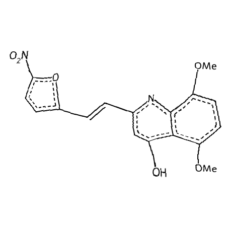 COc1ccc(OC)c2c(O)cc(/C=C/c3ccc([N+](=O)[O-])o3)nc12